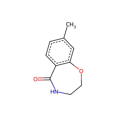 Cc1ccc2c(c1)OCCNC2=O